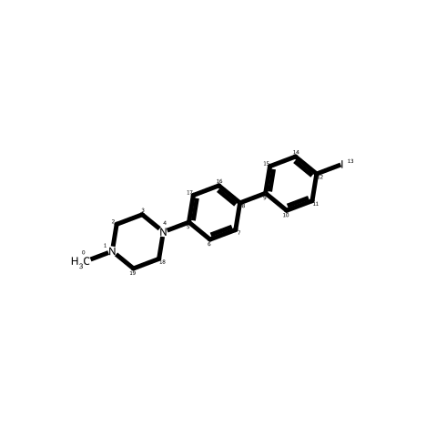 CN1CCN(c2ccc(-c3ccc(I)cc3)cc2)CC1